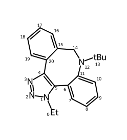 CCn1nnc2c1-c1ccccc1N(C(C)(C)C)Cc1ccccc1-2